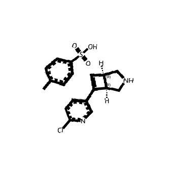 Cc1ccc(S(=O)(=O)O)cc1.Clc1ccc(C2=C[C@H]3CNC[C@@H]23)cn1